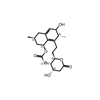 CC[C@H](C)C(=O)O[C@H]1C[C@@H](C)CC2=CC(O)[C@H](C)C(CC[C@@H]3C[C@@H](O)CC(=O)O3)=C21